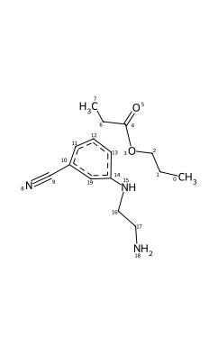 CCCOC(=O)CC.N#Cc1cccc(NCCN)c1